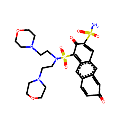 NS(=O)(=O)C1=Cc2cc3c(cc2=C(S(=O)(=O)N(CCN2CCOCC2)CCN2CCOCC2)C1=O)C=CC(=O)C=3